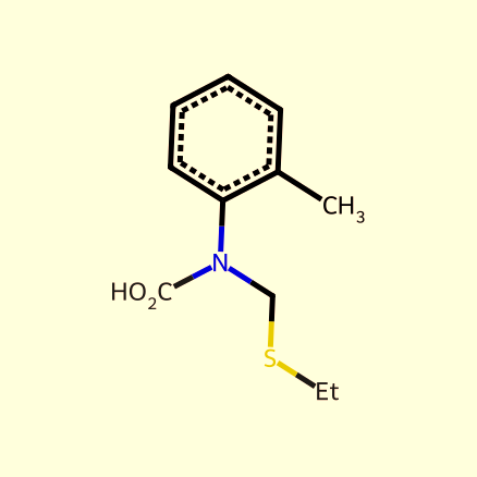 CCSCN(C(=O)O)c1ccccc1C